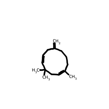 C=C1C/C=C\C(C)(C)C/C=C(/C)CCC1